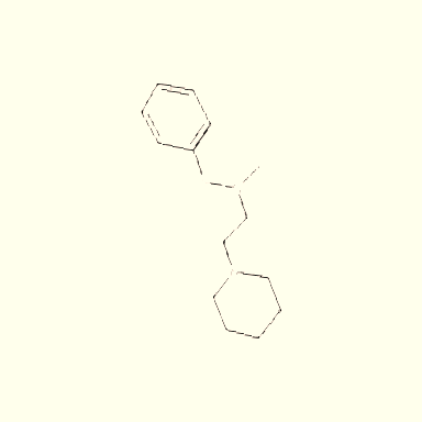 CN(CCN1CCCCC1)Sc1ccccc1